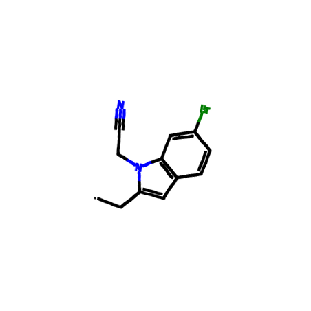 [CH2]Cc1cc2ccc(Br)cc2n1CC#N